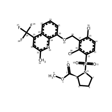 COC(=O)[C@@H]1CCCN1S(=O)(=O)c1ccc(Cl)c(COc2cccc3c(C(F)(F)F)cc(C)nc23)c1Cl